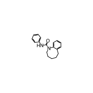 O=C(Nc1ccccc1)N1CCCCCc2ccccc21